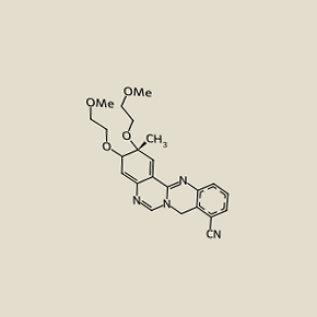 COCCOC1C=C2N=CN3Cc4c(C#N)cccc4N=C3C2=C[C@@]1(C)OCCOC